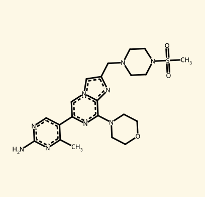 Cc1nc(N)ncc1-c1cn2cc(CN3CCN(S(C)(=O)=O)CC3)nc2c(N2CCOCC2)n1